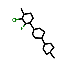 CC1CCC(C2CCC(C3CCC(C)C(Cl)C3F)CC2)CC1